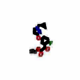 CC(C)(C)OC(=O)C(=O)c1cc(Oc2ccn(CC3CC3)n2)ccc1F